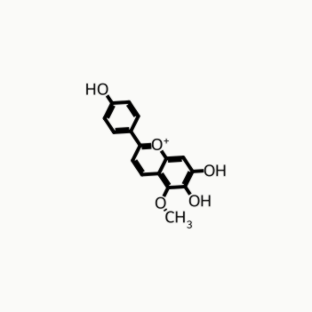 COc1c(O)c(O)cc2[o+]c(-c3ccc(O)cc3)ccc12